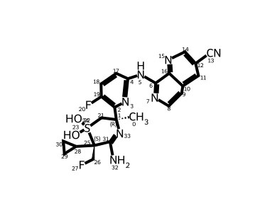 C[C@@]1(c2nc(Nc3nccc4cc(C#N)cnc34)ccc2F)CS(O)(O)[C@@](CF)(C2CC2)C(N)=N1